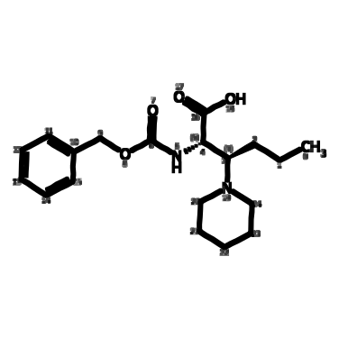 CCC[C@H]([C@H](NC(=O)OCc1ccccc1)C(=O)O)N1CCCCC1